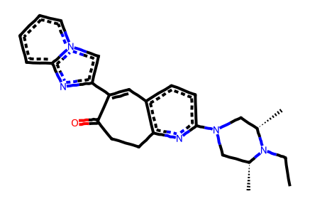 CCN1[C@H](C)CN(c2ccc3c(n2)CCC(=O)C(c2cn4ccccc4n2)=C3)C[C@@H]1C